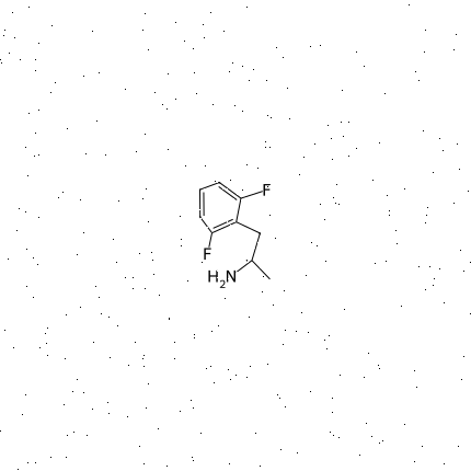 C[C](N)Cc1c(F)cccc1F